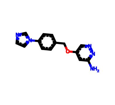 Nc1cc(OCc2ccc(-n3ccnc3)cc2)cnn1